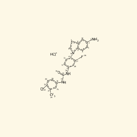 Cl.Nc1ccc2c(ccn2-c2ccc(NC(=O)Nc3ccc(Cl)c(C(F)(F)F)c3)cc2F)c1